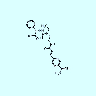 CCN(CCNC(=O)/C=C/c1ccc(C(=N)N)cc1)C(=O)NC(C(=O)O)c1ccccc1